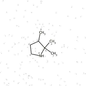 CC1CCNC1(C)C